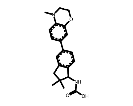 CN1CCOc2cc(-c3ccc4c(c3)CC(C)(C)C4NC(=O)O)ccc21